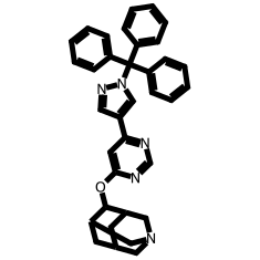 c1ccc(C(c2ccccc2)(c2ccccc2)n2cc(-c3cc(OC4C5CC6CC4CN(C6)C5)ncn3)cn2)cc1